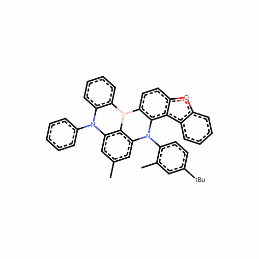 Cc1cc2c3c(c1)N(c1ccc(C(C)(C)C)cc1C)c1c(ccc4oc5ccccc5c14)B3c1ccccc1N2c1ccccc1